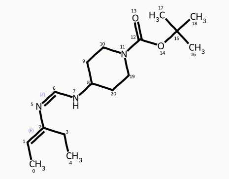 C/C=C(CC)/N=C\NC1CCN(C(=O)OC(C)(C)C)CC1